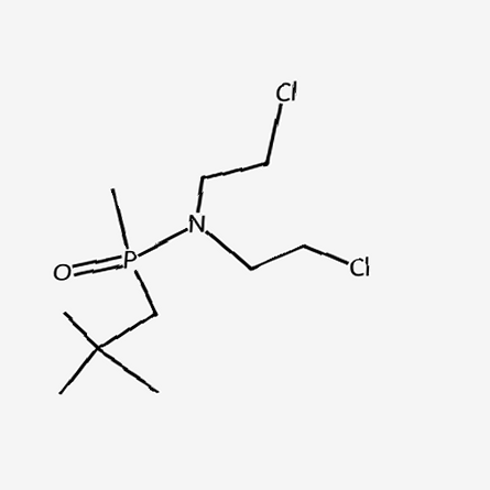 CC(C)(C)CP(C)(=O)N(CCCl)CCCl